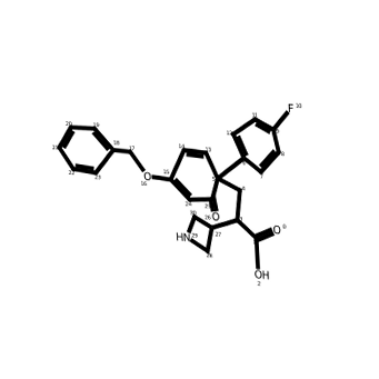 O=C(O)C(CC1(c2ccc(F)cc2)C=CC(OCc2ccccc2)=CC1=O)C1CNC1